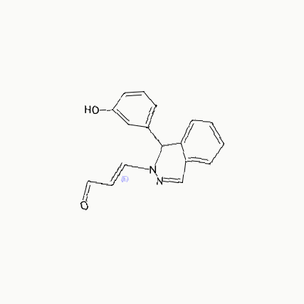 O=C/C=C/N1N=Cc2ccccc2C1c1cccc(O)c1